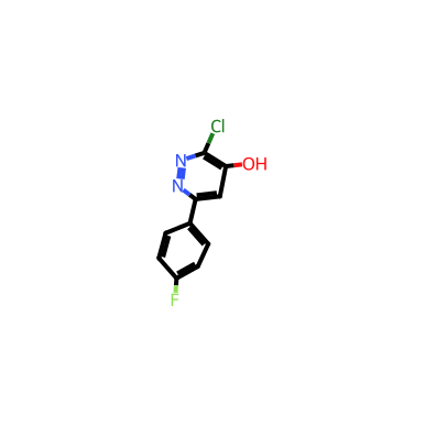 Oc1cc(-c2ccc(F)cc2)nnc1Cl